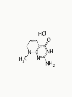 CN1CC=Cc2c1nc(N)[nH]c2=O.Cl